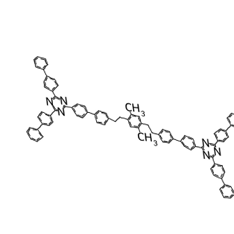 Cc1cc(CCc2ccc(-c3ccc(-c4nc(-c5ccc(-c6ccccc6)cc5)nc(-c5ccc(-c6ccccc6)cc5)n4)cc3)cc2)c(C)cc1CCc1ccc(-c2ccc(-c3nc(-c4ccc(-c5ccccc5)cc4)nc(-c4ccc(-c5ccccc5)cc4)n3)cc2)cc1